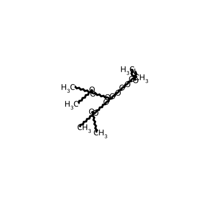 CCCCCCCCC(CCCCCCCC)C(=O)OCCCCCCOCC(COCCOCCOCCOCCOC(=O)C1(C)CCN(C)CC1)OCCCCCCOC(=O)C(CCCCCCCC)CCCCCCCC